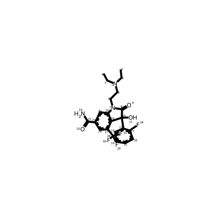 CCN(CC)CCN1C(=O)C(O)(c2ccccc2F)c2c1cc(C(N)=O)cc2C(F)(F)F